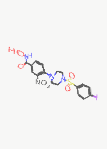 O=C(NO)c1ccc(N2CCN(S(=O)(=O)c3ccc(I)cc3)CC2)c([N+](=O)[O-])c1